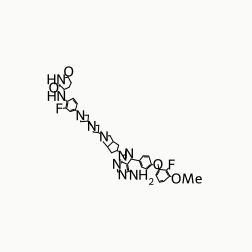 COc1cccc(Oc2ccc(-c3nn(C4CC5CN(C6CN(C7CN(c8ccc(NC9CCC(=O)NC9=O)c(F)c8)C7)C6)CC5C4)c4ncnc(N)c34)cc2)c1F